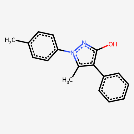 Cc1ccc(-n2nc(O)c(-c3ccccc3)c2C)cc1